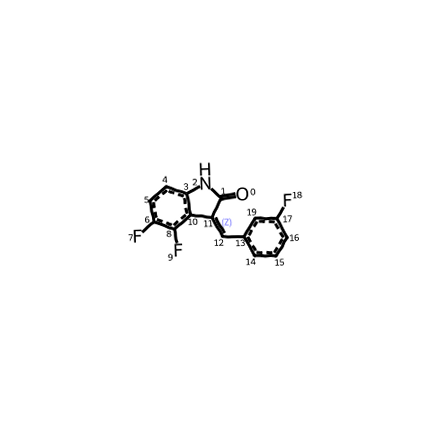 O=C1Nc2ccc(F)c(F)c2/C1=C/c1cccc(F)c1